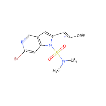 CO/C=C/c1cc2cnc(Br)cc2n1S(=O)(=O)N(C)C